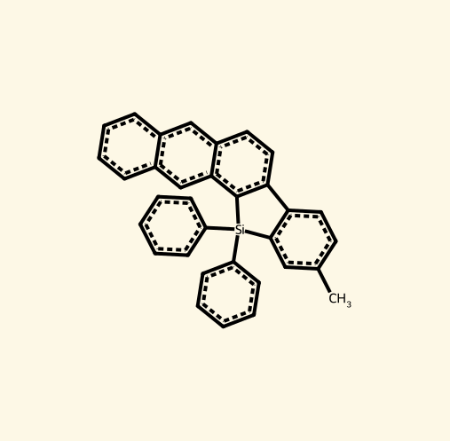 Cc1ccc2c(c1)[Si](c1ccccc1)(c1ccccc1)c1c-2ccc2cc3ccccc3cc12